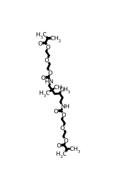 C=C(C)C(=O)OCCOCCOC(=O)NCCC(C)CC(C)(C)CNC(=O)OCCOCCOC(=O)C(=C)C